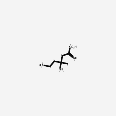 CC(N)(CCN)CC(=N)C(=O)O